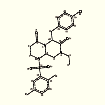 CCN1CC2N(C(=O)CCN2S(=O)(=O)c2cc(C)ccc2C)C(Cc2ccc(Cl)cc2)C1=O